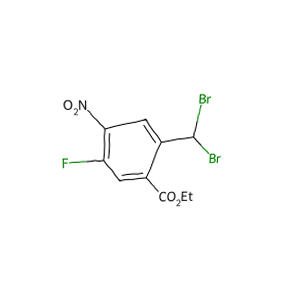 CCOC(=O)c1cc(F)c([N+](=O)[O-])cc1C(Br)Br